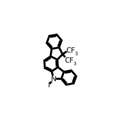 FC(F)(F)C1(C(F)(F)F)c2ccccc2-c2ccc3c(c21)c1ccccc1n3I